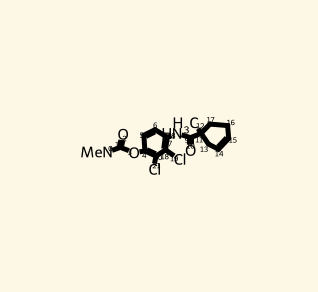 CNC(=O)Oc1ccc(NC(=O)C2(C)CC=CCC2)c(Cl)c1Cl